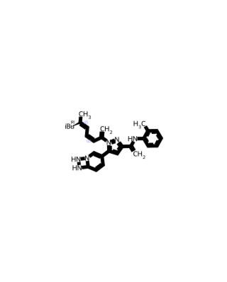 C=C(Nc1ccccc1C)c1cc(C2=CN3NNC3C=C2)n(C(=C)/C=C\C=C(\C)[C@H](C)CC)n1